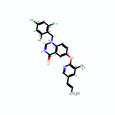 CCOC(=O)/C=C/c1cnc(Oc2ccc3c(c2)c(=O)ncn3Cc2c(F)cc(F)cc2F)c(C(F)(F)F)c1